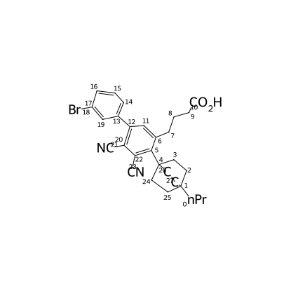 CCCC12CCC(c3c(CCCC(=O)O)cc(-c4cccc(Br)c4)c(C#N)c3C#N)(CC1)CC2